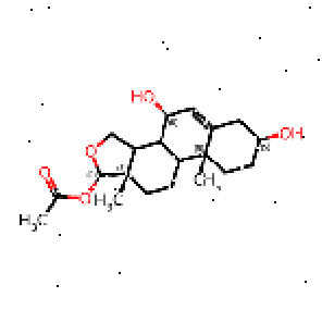 CC(=O)O[C@H]1OCC2C3C(CC[C@@]21C)[C@@]1(C)CC[C@H](O)CC1=C[C@@H]3O